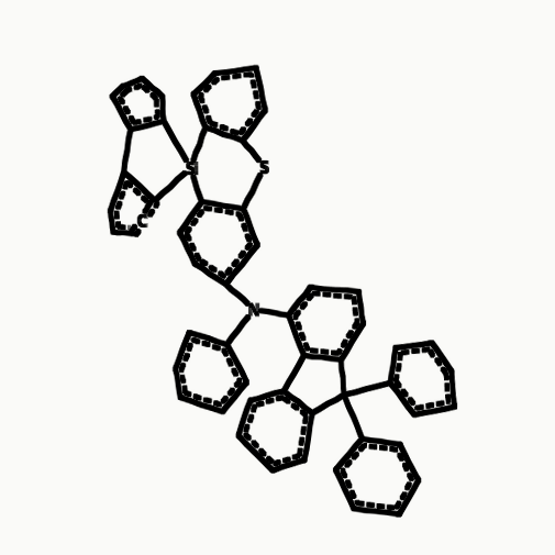 c1ccc(N(c2ccc3c(c2)Sc2ccccc2[Si]32c3ccccc3-c3ccccc32)c2cccc3c2-c2ccccc2C3(c2ccccc2)c2ccccc2)cc1